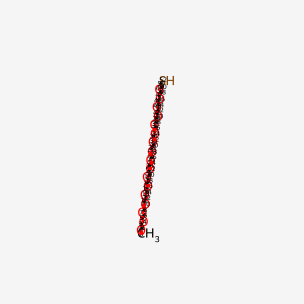 COCCOCCOCCOCCOCCOCCOCCOCCOCCOCCOCCOCCOCCOCCOCCOCCOCCS